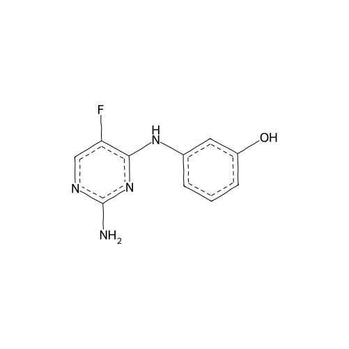 Nc1ncc(F)c(Nc2cccc(O)c2)n1